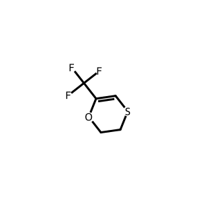 FC(F)(F)C1=CSCCO1